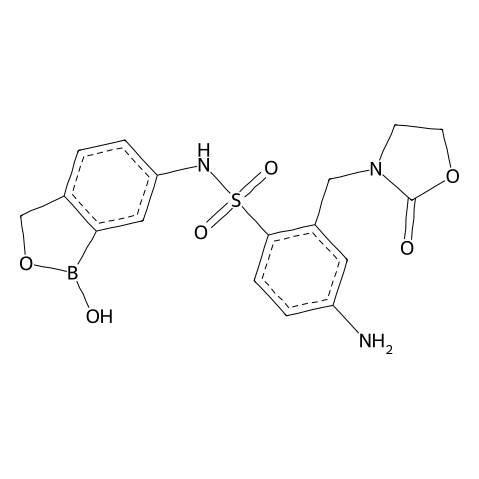 Nc1ccc(S(=O)(=O)Nc2ccc3c(c2)B(O)OC3)c(CN2CCOC2=O)c1